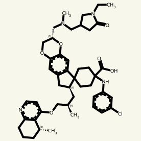 CCN1CC(CN(C)C[C@H]2COc3cc4c(cc3O2)C2(CCC(Nc3cccc(Cl)c3)(C(=O)O)CC2)[C@@H](C[C@@H](C)COc2ccnc3c2[C@H](C)CCC3)C4)CC1=O